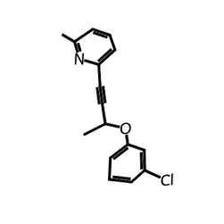 Cc1cccc(C#CC(C)Oc2cccc(Cl)c2)n1